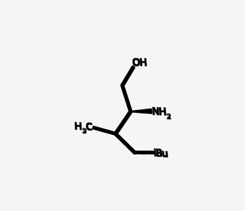 CCC(C)CC(C)[C@H](N)CO